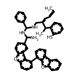 C/C=C\C=C(\CNC(NC(N)c1ccc2oc3cccc(-c4cccc5c4oc4ccccc45)c3c2c1)c1ccccc1)C(C)c1ccccc1S